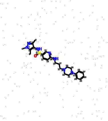 Cc1nn(C)c(C)c1N[S+]([O-])c1ccc(NCCCN2CCN(c3ccccc3)CC2)nc1